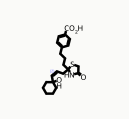 O=C1CSC(C/C=C\C2(O)CCCCC2)(CCCc2ccc(C(=O)O)cc2)N1